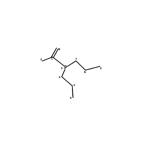 C=C(C)P(CCC)CCC